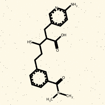 CN(C)C(=O)c1cccc(CCC(S)C(Cc2ccc(N)nc2)C(=O)O)c1